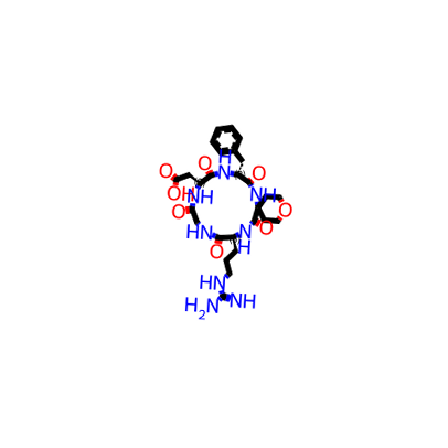 N=C(N)NCCC[C@@H]1NC(=O)C2(CCOCC2)NC(=O)[C@@H](Cc2ccccc2)NC(=O)[C@H](CC(=O)O)NC(=O)CNC1=O